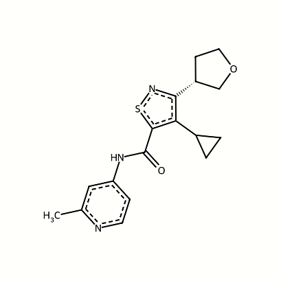 Cc1cc(NC(=O)c2snc([C@@H]3CCOC3)c2C2CC2)ccn1